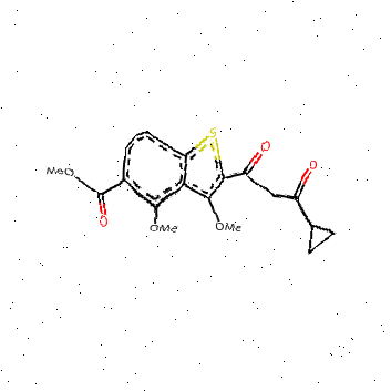 COC(=O)c1ccc2sc(C(=O)CC(=O)C3CC3)c(OC)c2c1OC